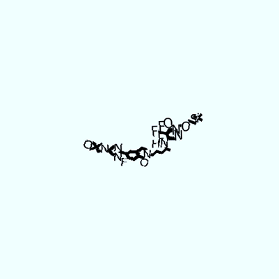 CC(CCCn1ccc2cc(-c3ncc(N4CC5(COC5)C4)cn3)c(F)cc2c1=O)Nc1cnn(COCC[Si](C)(C)C)c(=O)c1C(F)(F)F